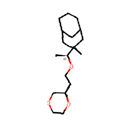 C[C@H](OCCC1COCCO1)C1(C)CC2CCCC(C2)C1